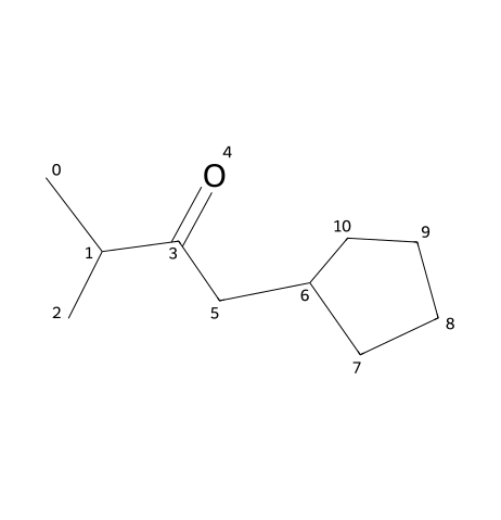 CC(C)C(=O)CC1CCCC1